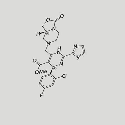 COC(=O)C1=C(CN2CCN3C(=O)OC[C@H]3C2)NC(c2nccs2)=N[C@H]1c1ccc(F)cc1Cl